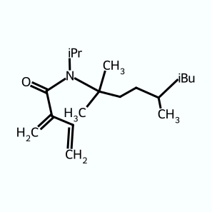 C=CC(=C)C(=O)N(C(C)C)C(C)(C)CCC(C)C(C)CC